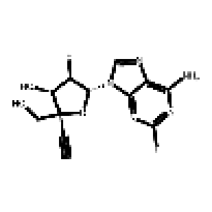 C#C[C@]1(CO)O[C@@H](n2cnc3c(N)nc(F)nc32)[C@H](F)[C@@H]1O